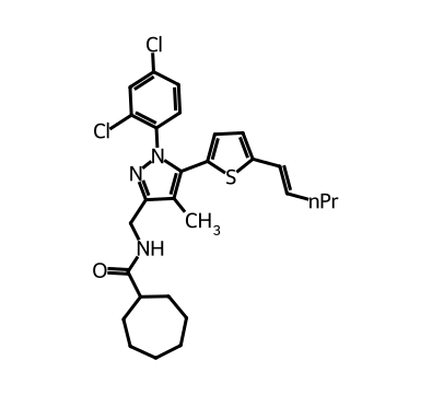 CCCC=Cc1ccc(-c2c(C)c(CNC(=O)C3CCCCCC3)nn2-c2ccc(Cl)cc2Cl)s1